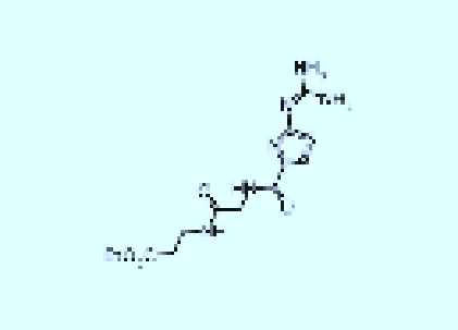 CCOC(=O)CCNC(=O)CNC(=O)c1csc(N=C(N)N)n1